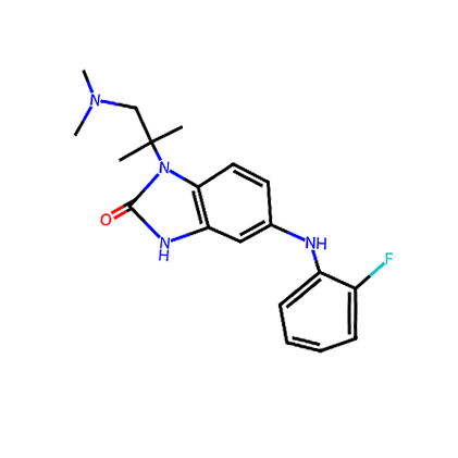 CN(C)CC(C)(C)n1c(=O)[nH]c2cc(Nc3ccccc3F)ccc21